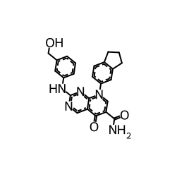 NC(=O)c1cn(-c2ccc3c(c2)CCC3)c2nc(Nc3cccc(CO)c3)ncc2c1=O